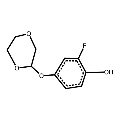 Oc1ccc(OC2COCCO2)cc1F